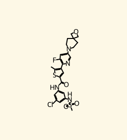 Cc1sc(C(=O)Nc2cc(Cl)cc(NS(C)(=O)=O)c2)cc1-c1ncc(N2CCC3(CC2)COC3)cc1F